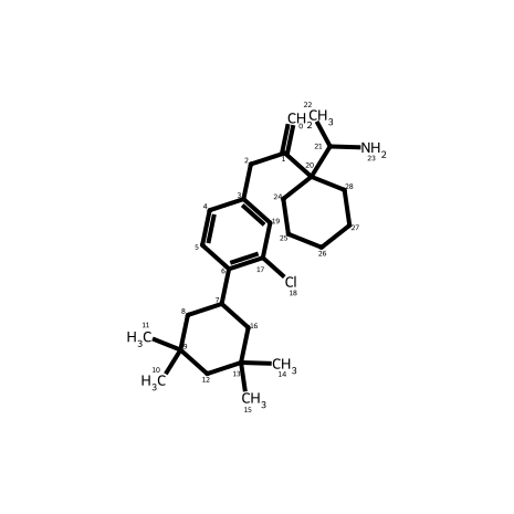 C=C(Cc1ccc(C2CC(C)(C)CC(C)(C)C2)c(Cl)c1)C1(C(C)N)CCCCC1